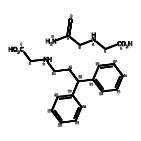 NC(=O)CNCC(=O)O.O=C(O)CNCCC(c1ccccc1)c1ccccc1